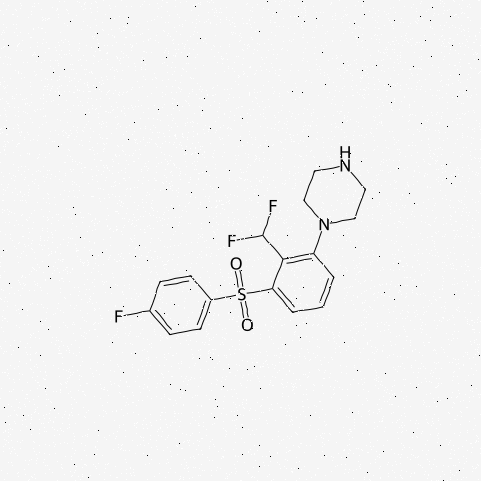 O=S(=O)(c1ccc(F)cc1)c1cccc(N2CCNCC2)c1C(F)F